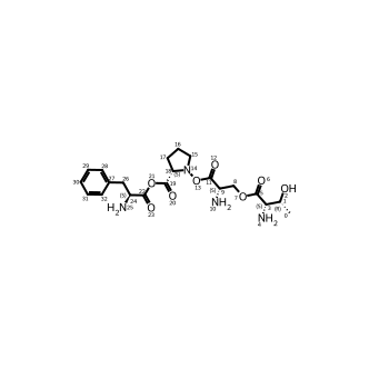 C[C@@H](O)[C@H](N)C(=O)OC[C@H](N)C(=O)ON1CCC[C@H]1C(=O)OC(=O)[C@@H](N)Cc1ccccc1